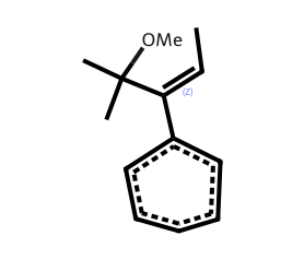 C/C=C(/c1ccccc1)C(C)(C)OC